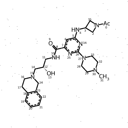 CC(=O)N1CC(Nc2cc(C(=O)NC[C@H](O)CN3CCc4ccccc4C3)nc(N3CCN(C)CC3)n2)C1